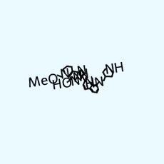 COCCN1CCCc2c1c(O)nn1c(-c3ccc4cccc(NCC5CCNCC5)c4n3)nnc21